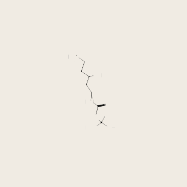 CC(C)(C)OC(=O)NCCC(O)CCN